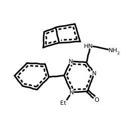 CCn1c(-c2ccccc2)nc(NN)nc1=O.c1cc2ccc1-2